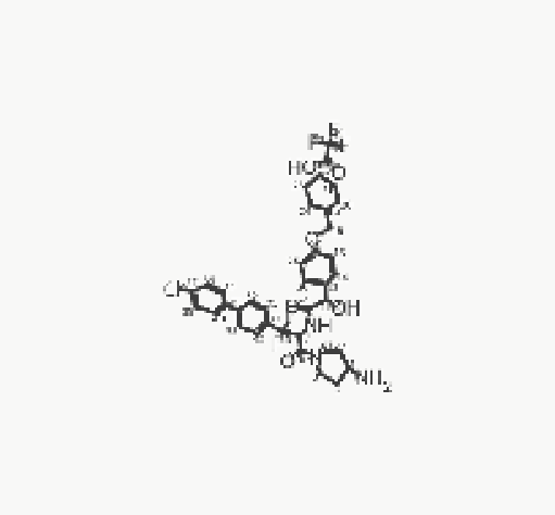 NC1CCN(C(=O)C(NC(=O)C(O)c2ccc(OCC3CCCCC3)cc2)C(F)(F)c2ccc(-c3ccc(Cl)cc3)cc2)CC1.O=C(O)C(F)(F)F